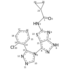 O=C(Nc1nc2[nH]nc(-n3cnnc3-c3ccccc3Cl)c2s1)C1CC1